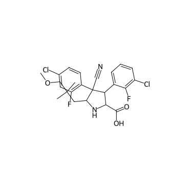 COCC(C)(C)CC1NC(C(=O)O)C(c2cccc(Cl)c2F)C1(C#N)c1ccc(Cl)cc1F